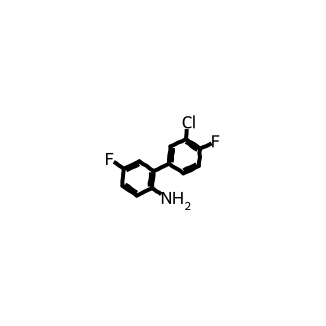 Nc1ccc(F)cc1-c1ccc(F)c(Cl)c1